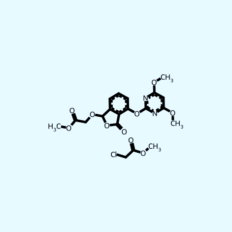 COC(=O)CCl.COC(=O)COC1OC(=O)c2c(Oc3nc(OC)cc(OC)n3)cccc21